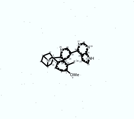 COc1ccc(CN2C3CC2CN(c2ccc(-c4ncnc5[nH]ccc45)cn2)C3)cc1F